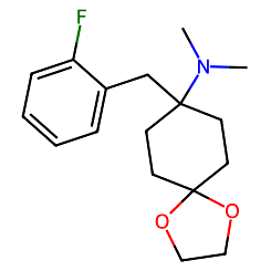 CN(C)C1(Cc2ccccc2F)CCC2(CC1)OCCO2